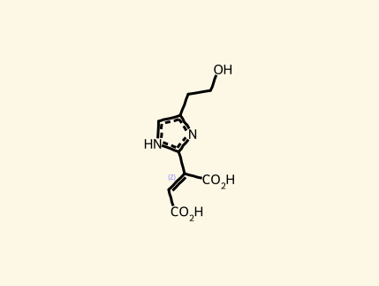 O=C(O)/C=C(\C(=O)O)c1nc(CCO)c[nH]1